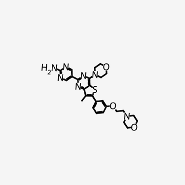 Cc1c(-c2cccc(OCCN3CCOCC3)c2)sc2c(N3CCOCC3)nc(-c3cnc(N)nc3)nc12